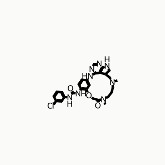 CN1CCCN(C)C(=O)COc2cc(ccc2NC(=O)Nc2cccc(Cl)c2)Nc2ncnc3c2C(CN3)C1